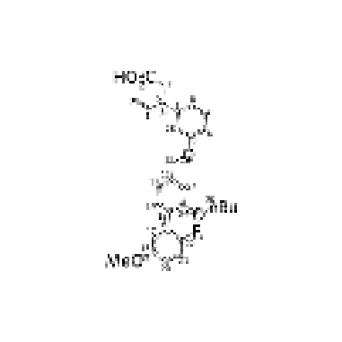 C=C[C@H](CC(=O)O)c1cccc(OCc2ccc(-c3cc(OC)ccc3F)c(OCCCC)c2)c1